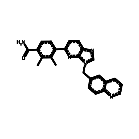 Cc1c(C(N)=O)ccc(-c2ccc3ncn(Cc4ccc5ncccc5c4)c3n2)c1C